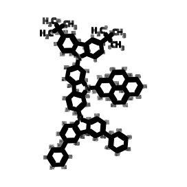 CC(C)(C)c1ccc2c(c1)c1cc(C(C)(C)C)ccc1n2-c1ccc2c3ccc(-n4c5ccc(-c6ccccc6)cc5c5cc(-c6ccccc6)ccc54)cc3n(-c3cc4ccc5cccc6ccc(c3)c4c56)c2c1